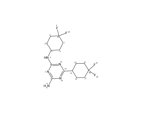 Nc1nc(NC2CCC(F)(F)CC2)nc(C2CCC(F)(F)CC2)n1